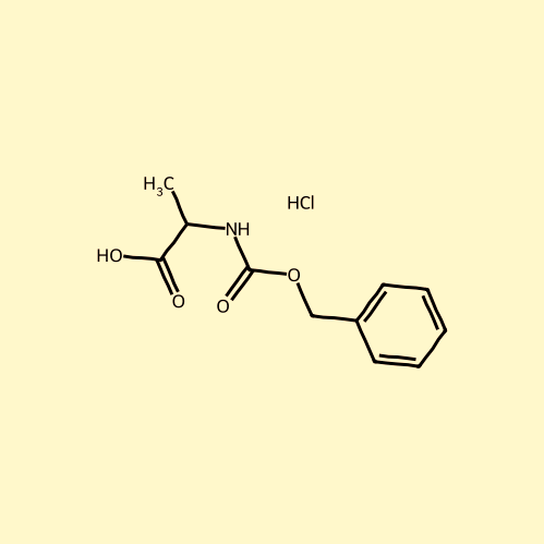 CC(NC(=O)OCc1ccccc1)C(=O)O.Cl